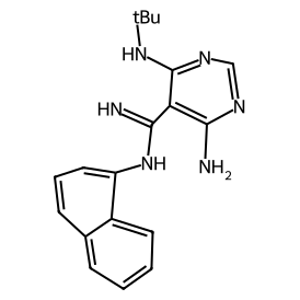 CC(C)(C)Nc1ncnc(N)c1C(=N)Nc1cccc2ccccc12